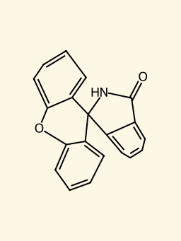 O=C1NC2(c3ccccc3Oc3ccccc32)c2ccccc21